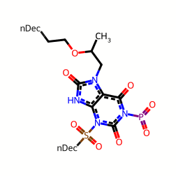 CCCCCCCCCCCCOC(C)Cn1c(=O)[nH]c2c1c(=O)n(P(=O)=O)c(=O)n2S(=O)(=O)CCCCCCCCCC